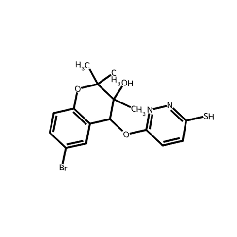 CC1(C)Oc2ccc(Br)cc2C(Oc2ccc(S)nn2)C1(C)O